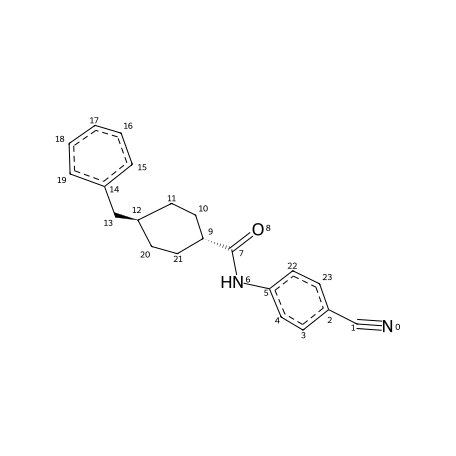 N#Cc1ccc(NC(=O)[C@H]2CC[C@H](Cc3ccccc3)CC2)cc1